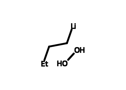 OO.[Li][CH2]CCC